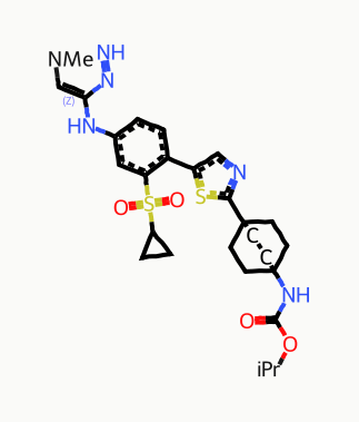 CN/C=C(\N=N)Nc1ccc(-c2cnc(C34CCC(NC(=O)OC(C)C)(CC3)CC4)s2)c(S(=O)(=O)C2CC2)c1